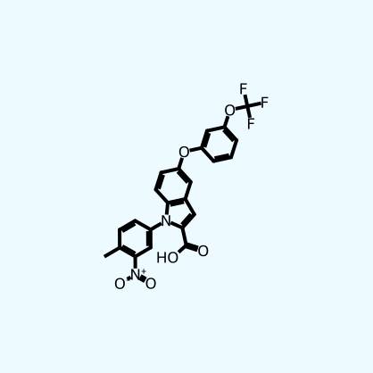 Cc1ccc(-n2c(C(=O)O)cc3cc(Oc4cccc(OC(F)(F)F)c4)ccc32)cc1[N+](=O)[O-]